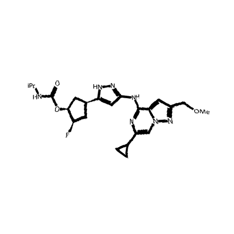 COCc1cc2c(Nc3cc([C@H]4C[C@@H](F)[C@@H](OC(=O)NC(C)C)C4)[nH]n3)nc(C3CC3)cn2n1